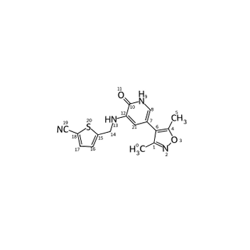 Cc1noc(C)c1-c1c[nH]c(=O)c(NCc2ccc(C#N)s2)c1